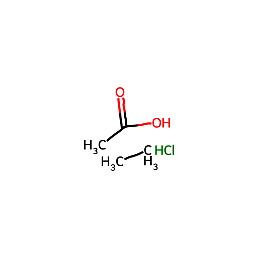 CC.CC(=O)O.Cl